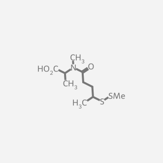 CSSC(C)CCC(=O)N(C)C(C)C(=O)O